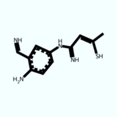 C/C(S)=C/C(=N)Nc1ccc(N)c(C=N)c1